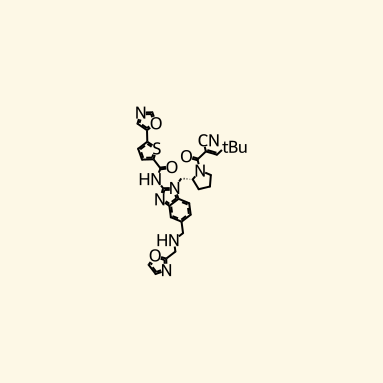 CC(C)(C)C=C(C#N)C(=O)N1CCC[C@@H]1Cn1c(NC(=O)c2ccc(-c3cnco3)s2)nc2cc(CNCc3ncco3)ccc21